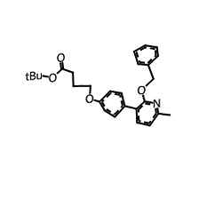 Cc1ccc(-c2ccc(OCCCC(=O)OC(C)(C)C)cc2)c(OCc2ccccc2)n1